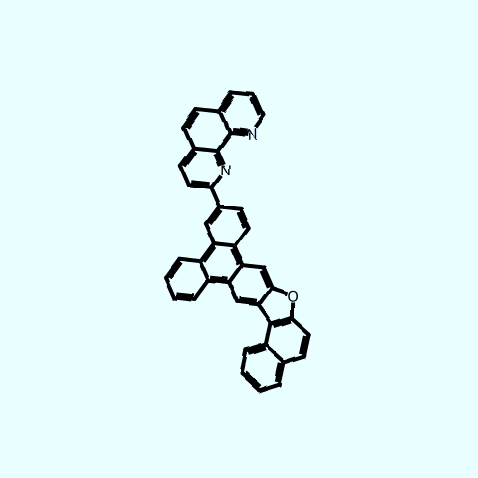 c1ccc2c(c1)ccc1oc3cc4c5ccc(-c6ccc7ccc8cccnc8c7n6)cc5c5ccccc5c4cc3c12